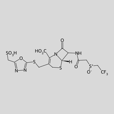 O=C(C[S+]([O-])CC(F)(F)F)NC1C(=O)N2C(C(=O)O)=C(CSc3nnc(CS(=O)(=O)O)o3)CS[C@@H]12